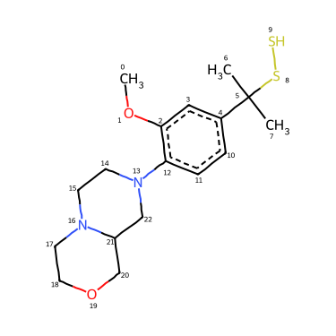 COc1cc(C(C)(C)SS)ccc1N1CCN2CCOCC2C1